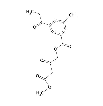 CCC(=O)c1cc(C)cc(C(=O)OCC(=O)CC(=O)OC)c1